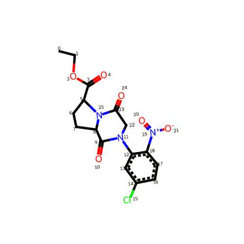 CCOC(=O)C1CCC2C(=O)N(c3cc(Cl)ccc3[N+](=O)[O-])CC(=O)N12